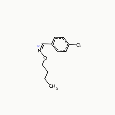 CCCCO/N=[C]\c1ccc(Cl)cc1